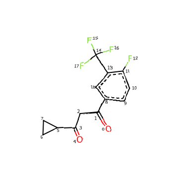 O=C(CC(=O)C1CC1)c1ccc(F)c(C(F)(F)F)c1